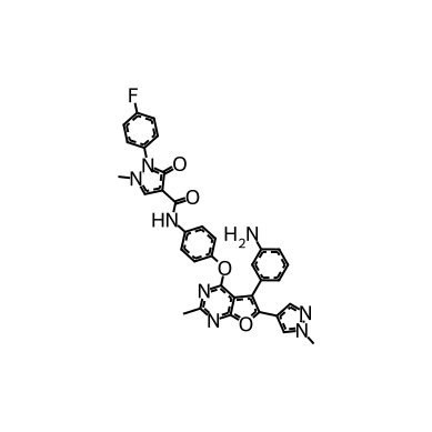 Cc1nc(Oc2ccc(NC(=O)c3cn(C)n(-c4ccc(F)cc4)c3=O)cc2)c2c(-c3cccc(N)c3)c(-c3cnn(C)c3)oc2n1